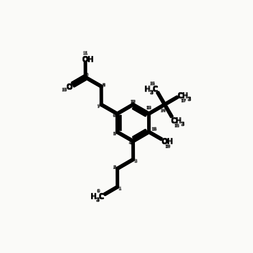 CCCCc1cc(CCC(=O)O)cc(C(C)(C)C)c1O